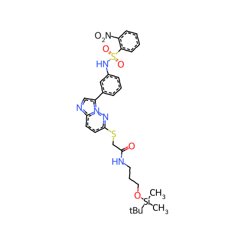 CC(C)(C)[Si](C)(C)OCCCNC(=O)CSc1ccc2ncc(-c3cccc(NS(=O)(=O)c4ccccc4[N+](=O)[O-])c3)n2n1